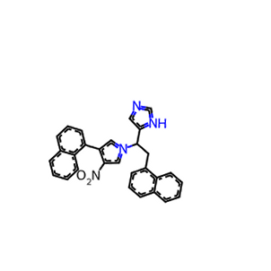 O=[N+]([O-])c1cn(C(Cc2cccc3ccccc23)c2cnc[nH]2)cc1-c1cccc2ccccc12